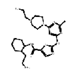 Cc1nc(Nc2ncc(C(=O)NC3CCCCC3CCN)s2)cc(N2CCN(CCO)CC2)n1